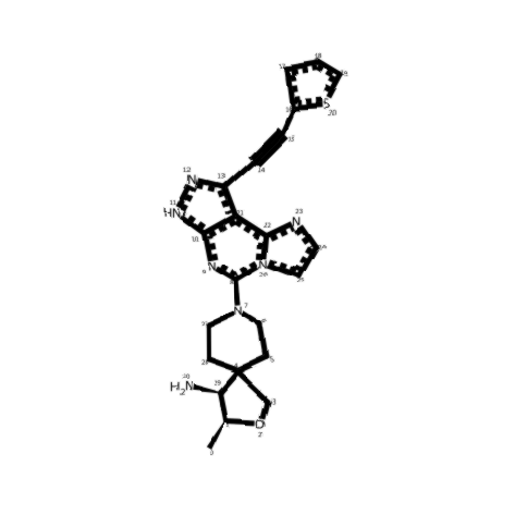 C[C@@H]1OCC2(CCN(c3nc4[nH]nc(C#Cc5cccs5)c4c4nccn34)CC2)[C@@H]1N